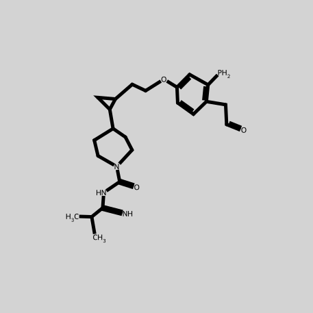 CC(C)C(=N)NC(=O)N1CCC(C2CC2CCOc2ccc(CC=O)c(P)c2)CC1